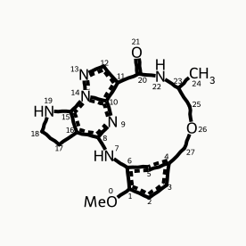 COc1ccc2cc1Nc1nc3c(cnn3c3c1CCN3)C(=O)NC(C)COC2